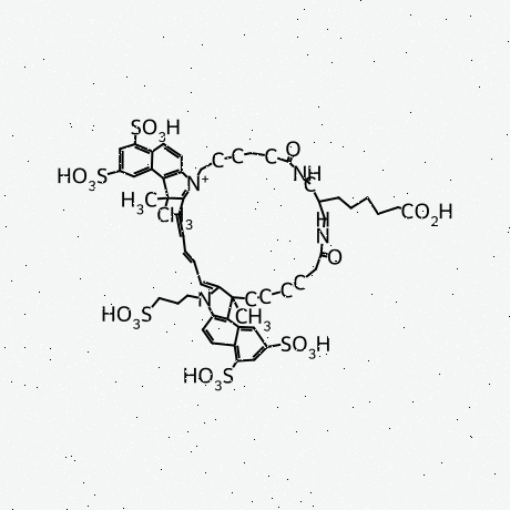 CC1(C)C2=[N+](CCCCCC(=O)NCC(CCCCCC(=O)O)CNC(=O)CCCCCC3(C)/C(=C/C=C/C=C/2)N(CCCS(=O)(=O)O)c2ccc4c(S(=O)(=O)O)cc(S(=O)(=O)O)cc4c23)c2ccc3c(S(=O)(=O)O)cc(S(=O)(=O)O)cc3c21